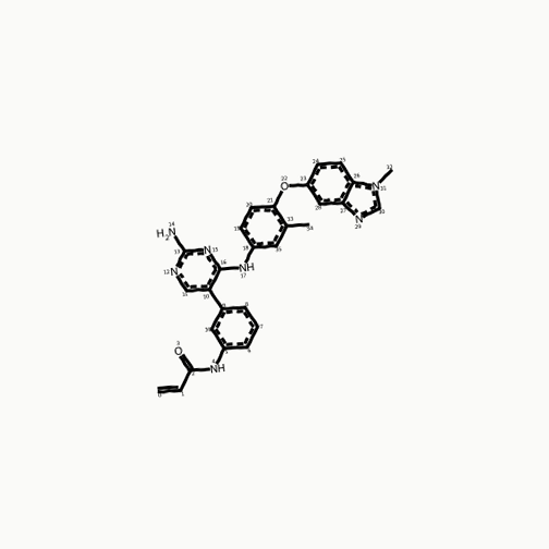 C=CC(=O)Nc1cccc(-c2cnc(N)nc2Nc2ccc(Oc3ccc4c(c3)ncn4C)c(C)c2)c1